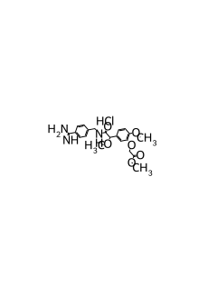 COC(=O)COc1cc(C(OC)C(=O)NCc2ccc(C(=N)N)cc2)ccc1OC.Cl